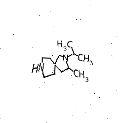 CC(C)N1CC2(CCNCC2)CC1C